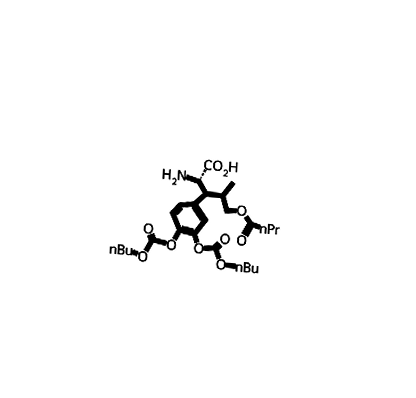 CCCCOC(=O)Oc1ccc(C(C(C)COC(=O)CCC)[C@H](N)C(=O)O)cc1OC(=O)OCCCC